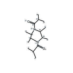 CC(C)C(=O)N1C(C)C(C)N(C(=O)C(C)C)C(C)C1C